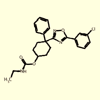 CCNC(=O)OC1CCC(c2ccccc2)(c2noc(-c3cccc(Cl)c3)n2)CC1